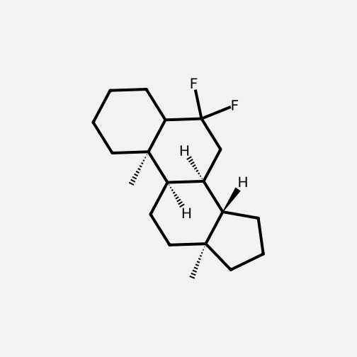 C[C@@]12CCC[C@H]1[C@@H]1CC(F)(F)C3CCCC[C@]3(C)[C@@H]1CC2